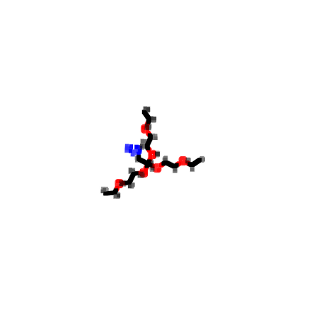 CCOCCOC(CN)(OCCOCC)OCCOCC